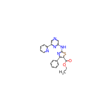 CCOC(=O)c1sc(Nc2cncc(-c3ccccn3)n2)nc1-c1ccccc1